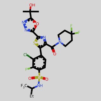 CCC(NS(=O)(=O)c1ccc(-c2sc(-c3nnc(C(C)(C)O)o3)nc2C(=O)N2CCC(F)(F)CC2)c(Cl)c1F)C(F)(F)F